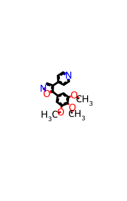 COc1cc(-c2oncc2-c2ccncc2)cc(OC)c1OC